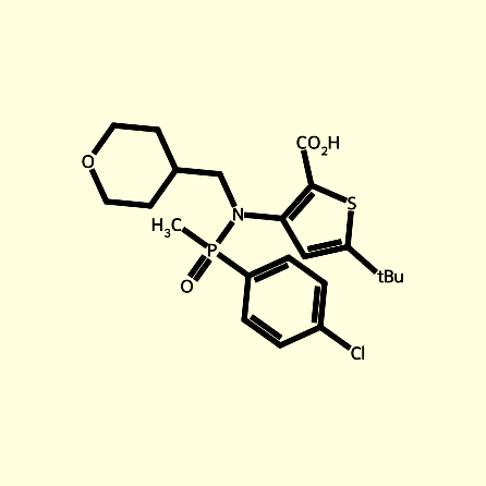 CC(C)(C)c1cc(N(CC2CCOCC2)P(C)(=O)c2ccc(Cl)cc2)c(C(=O)O)s1